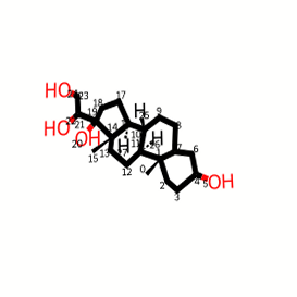 C[C@]12CCC(O)CC1CC[C@@H]1[C@@H]2CC[C@@]2(C)[C@H]1CCC2(O)C(O)CO